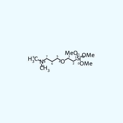 CO[Si](CCOCCCN(C)C)(OC)OC